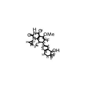 COC1=C(F)C(c2cc3c(s2)CCC(F)(F)C3O)C(C)c2c1c(=O)[nH]c(=O)n2C1CC1